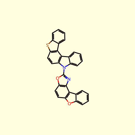 c1ccc2c(c1)oc1ccc3oc(-n4c5ccccc5c5c6c(ccc54)sc4ccccc46)nc3c12